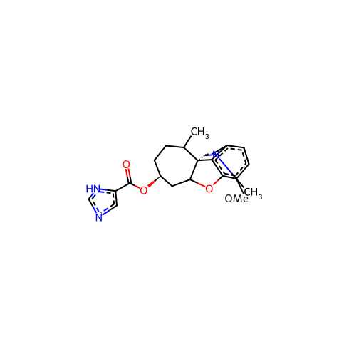 COc1ccc2c3c1OC1C[C@@H](OC(=O)c4cnc[nH]4)CCC(C)[C@@]31CCN(C)C2